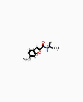 COc1ccc2cc(C(=O)NC(C)C(=O)O)oc2c1